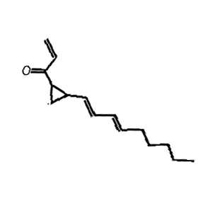 C=CC(=O)C1[CH]C1C=CC=CCCCCC